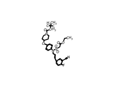 CCOC(=O)CS(=O)(=O)N(C/C=C/c1ccc(F)c(C#N)c1)c1ccc(OC2CCN(C(=O)OC(C)(C)C)CC2)cc1